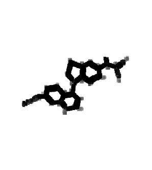 COc1ccc2c(N3CCc4cc(N[SH](=O)=O)ccc43)ccnc2c1